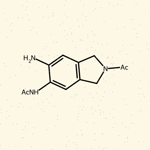 CC(=O)Nc1cc2c(cc1N)CN(C(C)=O)C2